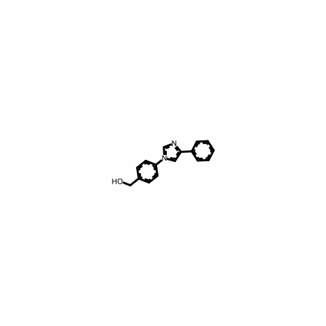 OCc1ccc(-n2cnc(-c3ccccc3)c2)cc1